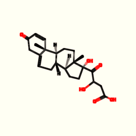 C[C@]12C=CC(=O)CC1=CC[C@@H]1[C@@H]2CC[C@@]2(C)[C@H]1CC[C@]2(O)C(=O)C(O)CC(=O)O